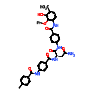 Cc1ccc(C(=O)Nc2ccc(C(=O)N[C@@H](CC(N)=O)C(=O)Nc3ccc(C(=O)Nc4ccc(C(=O)O)c(O)c4OC(C)C)cc3)cc2)cc1